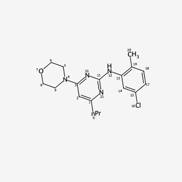 CCCc1cc(N2CCOCC2)nc(Nc2cc(Cl)ccc2C)n1